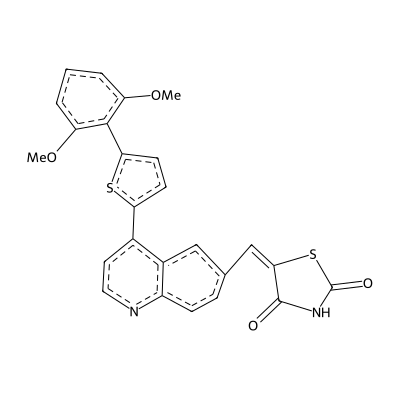 COc1cccc(OC)c1-c1ccc(-c2ccnc3ccc(C=C4SC(=O)NC4=O)cc23)s1